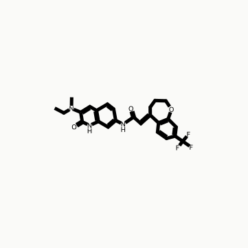 CCN(C)c1cc2ccc(NC(=O)/C=C3\CCCOc4cc(C(F)(F)F)ccc43)cc2[nH]c1=O